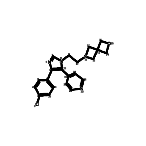 Clc1ccc(-c2ncn(CCN3CC4(COC4)C3)c2-c2ccncc2)cc1